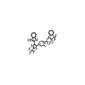 CC1CN(c2sc(C(F)(F)F)nc2-c2nc3ccccc3[nH]2)CCN1C(=O)CN1C(=O)C(F)(F)c2ccccc21